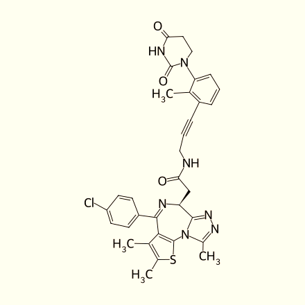 Cc1sc2c(c1C)C(c1ccc(Cl)cc1)=N[C@@H](CC(=O)NCC#Cc1cccc(N3CCC(=O)NC3=O)c1C)c1nnc(C)n1-2